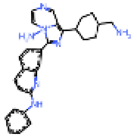 NCC1CCC(C2=C3C=NC=C[N+]3(N)C(c3ccc4ccc(Nc5ccccc5)nc4c3)=N2)CC1